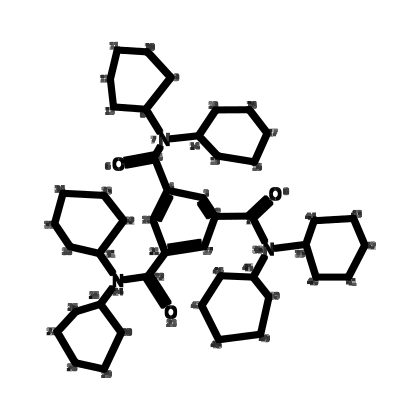 O=C(c1cc(C(=O)N(C2CCCCC2)C2CCCCC2)cc(C(=O)N(C2CCCCC2)C2CCCCC2)c1)N(C1CCCCC1)C1CCCCC1